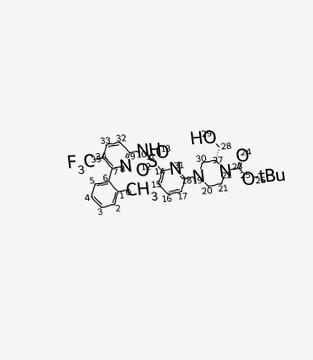 Cc1ccccc1-c1nc(NS(=O)(=O)c2cccc(N3CCN(C(=O)OC(C)(C)C)[C@@H](CO)C3)n2)ccc1C(F)(F)F